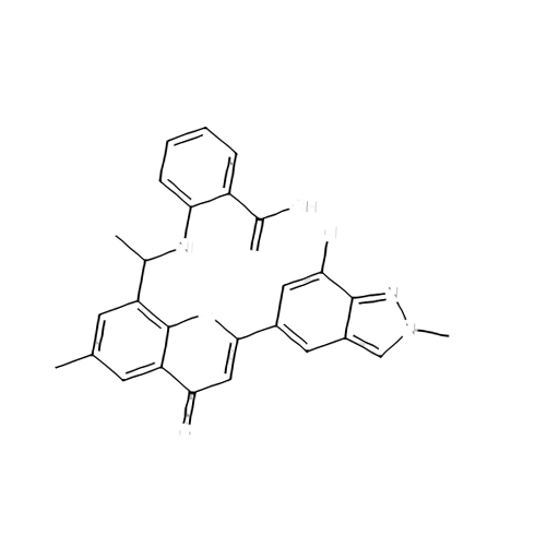 Cc1cc(C(C)Nc2ccccc2C(=O)O)c2oc(-c3cc(Cl)c4nn(C)cc4c3)cc(=O)c2c1